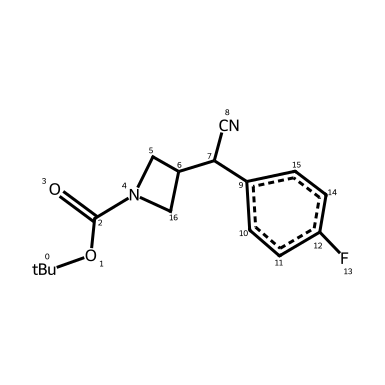 CC(C)(C)OC(=O)N1CC(C(C#N)c2ccc(F)cc2)C1